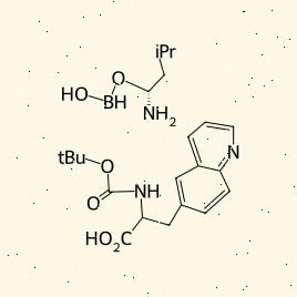 CC(C)(C)OC(=O)NC(Cc1ccc2ncccc2c1)C(=O)O.CC(C)C[C@H](N)OBO